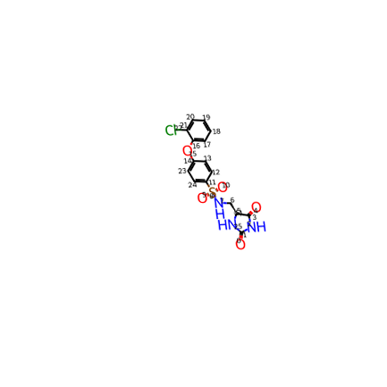 O=C1NC(=O)[C@H](CNS(=O)(=O)c2ccc(Oc3ccccc3Cl)cc2)N1